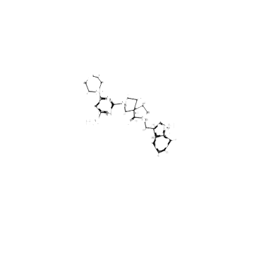 Cc1cc(N2CCOCC2)nc(N2CCC3(CCN(Cc4c[nH]c5ccccc45)C3=O)C2)n1